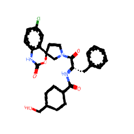 O=C1Nc2ccc(Cl)cc2C2(CCN(C(=O)[C@H](Cc3ccccc3)NC(=O)C3CCC(CO)CC3)C2)O1